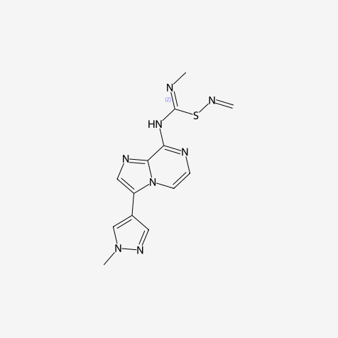 C=NS/C(=N\C)Nc1nccn2c(-c3cnn(C)c3)cnc12